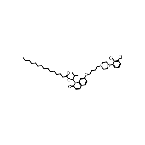 CCCCCCCCCCCCCCC(=O)OC(C(C)C)n1c(=O)ccc2ccc(OCCCCN3CCN(c4cccc(Cl)c4Cl)CC3)cc21